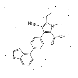 CCc1c(C#N)c(-c2ccc(-c3cccc4sccc34)cc2)c(C(=O)O)n1C